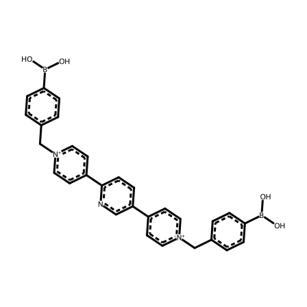 OB(O)c1ccc(C[n+]2ccc(-c3ccc(-c4cc[n+](Cc5ccc(B(O)O)cc5)cc4)nc3)cc2)cc1